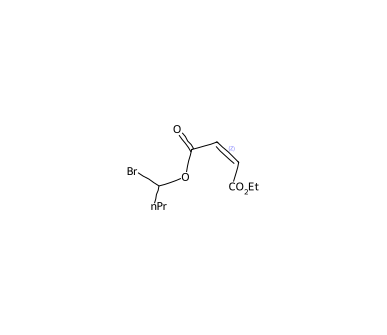 CCCC(Br)OC(=O)/C=C\C(=O)OCC